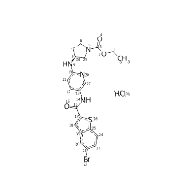 CCOC(=O)N1CC[C@H](Nc2ccc(NC(=O)c3cc4cc(Br)ccc4s3)cn2)C1.Cl